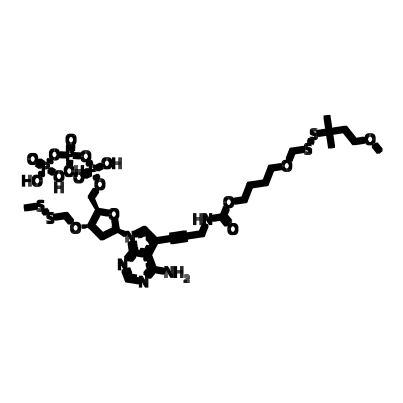 COCCC(C)(C)SSCOCCCCOC(=O)NCC#Cc1cn([C@H]2C[C@H](OCSSC)[C@@H](COP(=O)(O)OP(=O)(O)OP(=O)(O)O)O2)c2ncnc(N)c12